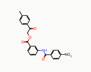 Cc1ccc(C(=O)COC(=O)c2cccc(NC(=O)c3ccc([N+](=O)[O-])cc3)c2)cc1